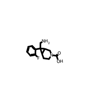 NCC1(c2ccccc2F)C2CCN(C(=O)O)CC21